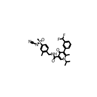 Cc1cc(S(C)(=O)=NC#N)ccc1CNC(=O)c1cn(C(C)C)c(C)c(-c2cccc(C(F)F)c2)c1=O